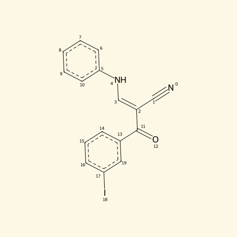 N#C/C(=C\Nc1ccccc1)C(=O)c1cccc(I)c1